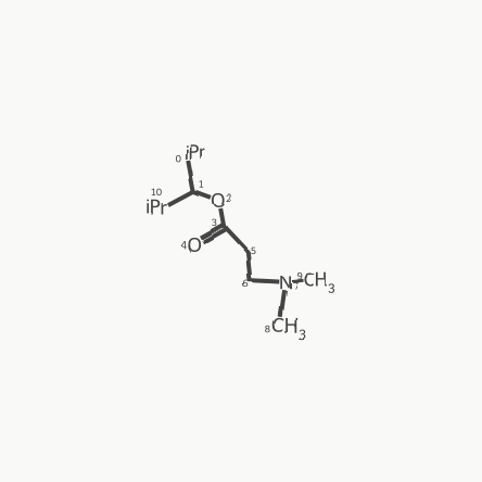 CC(C)C(OC(=O)CCN(C)C)C(C)C